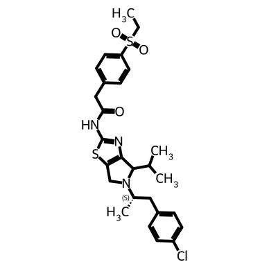 CCS(=O)(=O)c1ccc(CC(=O)Nc2nc3c(s2)CN([C@@H](C)Cc2ccc(Cl)cc2)C3C(C)C)cc1